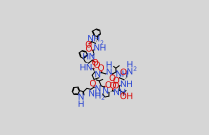 CC(C)[C@H](NC(=O)[C@H](CC(N)=O)NC(=O)[C@@H](NC(=O)[C@@H]1CCCN1C(=O)[C@@H](NC(=O)[C@@H](N)Cc1c[nH]c2ccccc12)C(C)C)C(C)O)C(=O)NCC(=O)N1CCC[C@H]1C(=O)N[C@@H](Cc1ccccc1)C(=O)NCC(=O)N[C@@H](Cc1ccccc1)C(N)=O